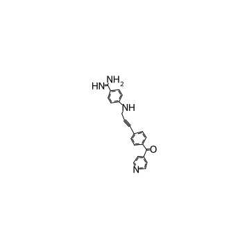 N=C(N)c1ccc(NCC#Cc2ccc(C(=O)c3ccncc3)cc2)cc1